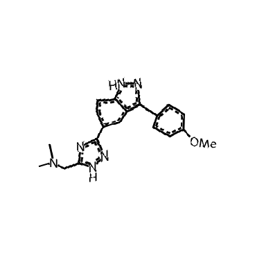 COc1ccc(-c2n[nH]c3ccc(-c4n[nH]c(CN(C)C)n4)cc23)cc1